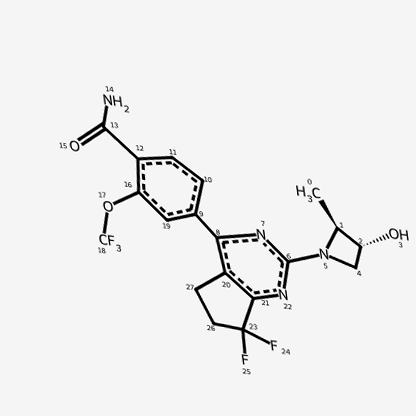 C[C@H]1[C@H](O)CN1c1nc(-c2ccc(C(N)=O)c(OC(F)(F)F)c2)c2c(n1)C(F)(F)CC2